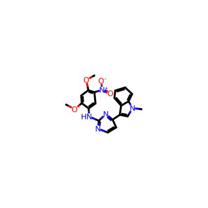 COc1cc(OC)c([N+](=O)[O-])cc1Nc1nccc(-c2cn(C)c3ccccc23)n1